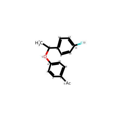 CC(=O)c1ccc(OC(C)c2ccc(F)cc2)cc1